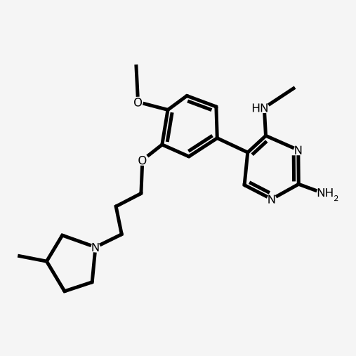 CNc1nc(N)ncc1-c1ccc(OC)c(OCCCN2CCC(C)C2)c1